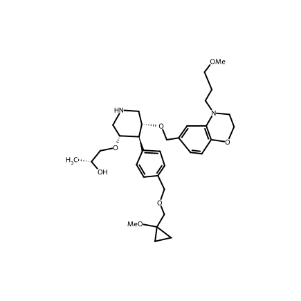 COCCCN1CCOc2ccc(CO[C@H]3CNC[C@@H](OC[C@@H](C)O)[C@@H]3c3ccc(COCC4(OC)CC4)cc3)cc21